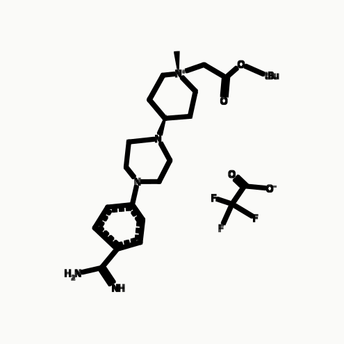 CC(C)(C)OC(=O)C[N@+]1(C)CC[C@@H](N2CCN(c3ccc(C(=N)N)cc3)CC2)CC1.O=C([O-])C(F)(F)F